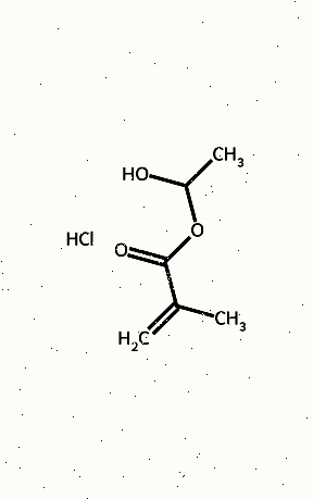 C=C(C)C(=O)OC(C)O.Cl